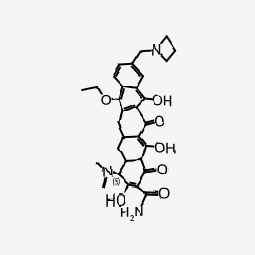 CCOc1c2c(c(O)c3cc(CN4CCC4)ccc13)C(=O)C1=C(O)C3C(=O)C(C(N)=O)=C(O)[C@@H](N(C)C)C3CC1C2